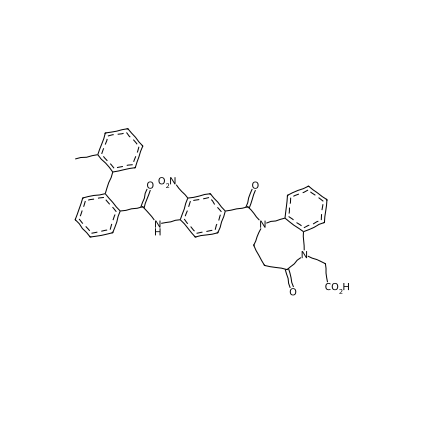 Cc1ccccc1-c1ccccc1C(=O)Nc1ccc(C(=O)N2CCC(=O)N(CC(=O)O)c3ccccc32)cc1[N+](=O)[O-]